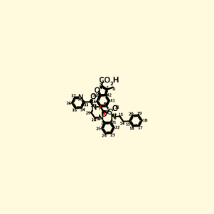 Cc1c(C(=O)O)oc2ccc(S(=O)(=O)N(CCc3ccccc3)c3ccccc3N3CCN(C(=O)c4ccccn4)CC3)cc12